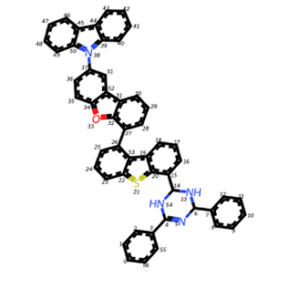 c1ccc(C2=NC(c3ccccc3)NC(c3cccc4c3sc3cccc(-c5cccc6c5oc5ccc(-n7c8ccccc8c8ccccc87)cc56)c34)N2)cc1